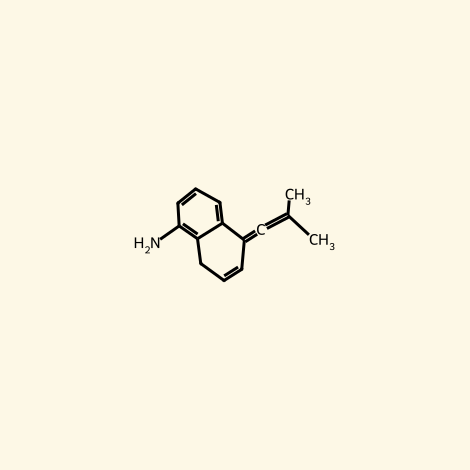 CC(C)=C=C1C=CCc2c(N)cccc21